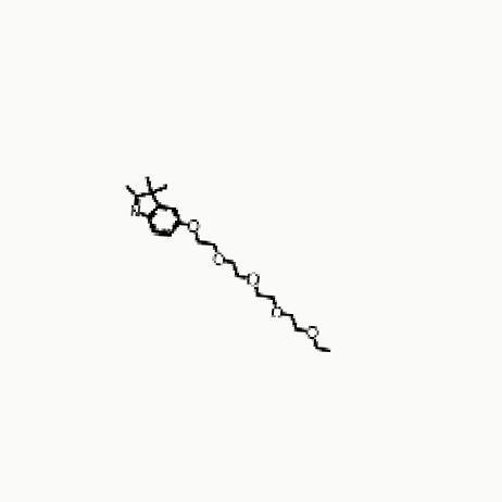 CCOCCOCCOCCOCCOc1ccc2c(c1)C(C)(C)C(C)=N2